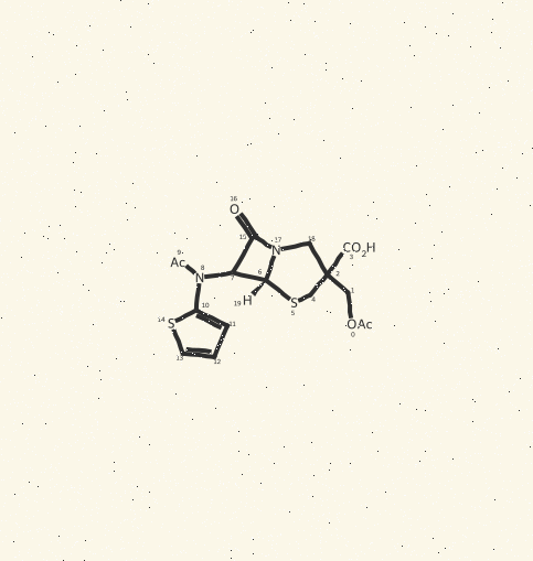 CC(=O)OCC1(C(=O)O)CS[C@@H]2C(N(C(C)=O)c3cccs3)C(=O)N2C1